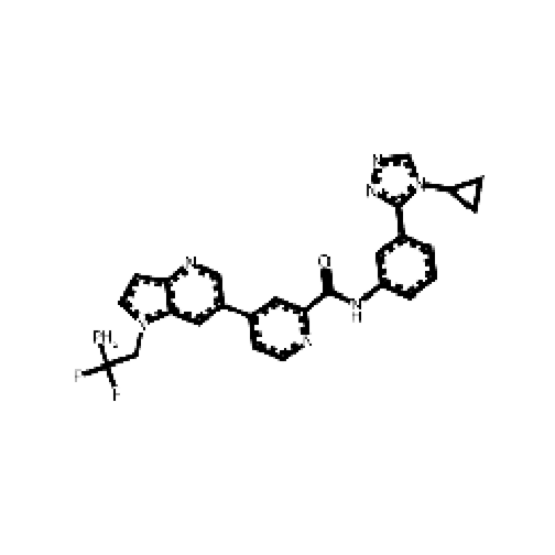 O=C(Nc1cccc(-c2nncn2C2CC2)c1)c1cc(-c2cnc3ccn(CC(F)(F)P)c3c2)ccn1